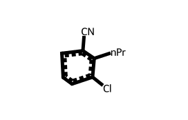 CCCc1c(Cl)cccc1C#N